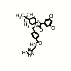 CC(C)(C)C1CCC2(CC1)N=C(c1cc(Cl)cc(Cl)c1)C(=O)N2Cc1ccc(C(=O)NCc2nn[nH]n2)cc1